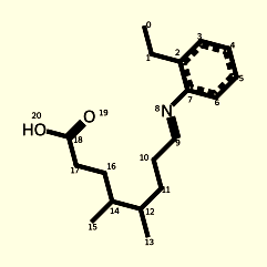 CCc1ccccc1N=CCCC(C)C(C)CCC(=O)O